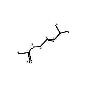 CC(=O)OC/C=C/C(C)C